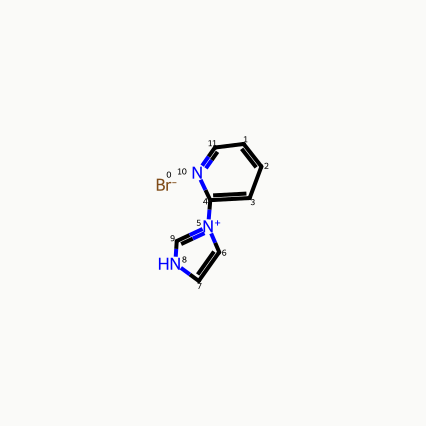 [Br-].c1ccc(-[n+]2cc[nH]c2)nc1